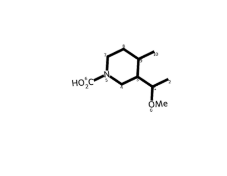 COC(C)C1CN(C(=O)O)CCC1C